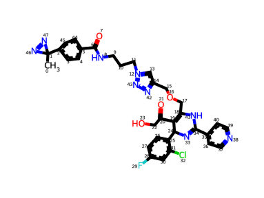 CC1(c2ccc(C(=O)NCCCn3cc(COCC4=C(C(=O)CO)C(c5ccc(F)cc5Cl)N=C(c5ccncc5)N4)nn3)cc2)N=N1